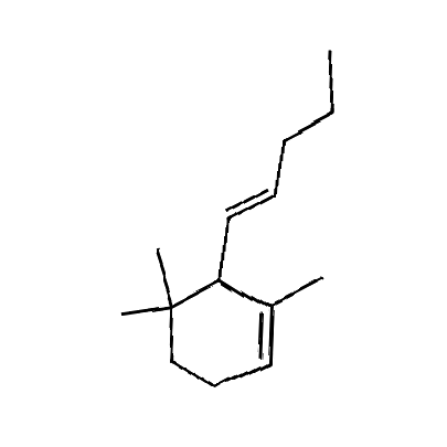 CCC/C=C/C1C(C)=CCCC1(C)C